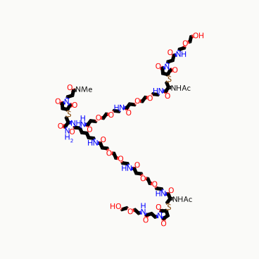 CNC(=O)CCN1C(=O)CC(SCC(NC(=O)C(CCCCNC(=O)CCOCCOCCNC(=O)CCOCCOCCNC(=O)C(CSC2CC(=O)N(CCC(=O)NCCOCCO)C2=O)NC(C)=O)NC(=O)CCOCCOCCNC(=O)CCOCCOCCNC(=O)C(CSC2CC(=O)N(CCC(=O)NCCOCCO)C2=O)NC(C)=O)C(N)=O)C1=O